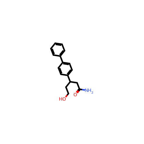 NC(=O)CC(CCO)c1ccc(-c2ccccc2)cc1